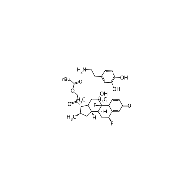 CCCCC(=O)OCC(=O)[C@H]1[C@H](C)C[C@H]2[C@@H]3C[C@H](F)C4=CC(=O)C=C[C@]4(C)[C@@]3(F)[C@@H](O)C[C@@]21C.NCCc1ccc(O)c(O)c1